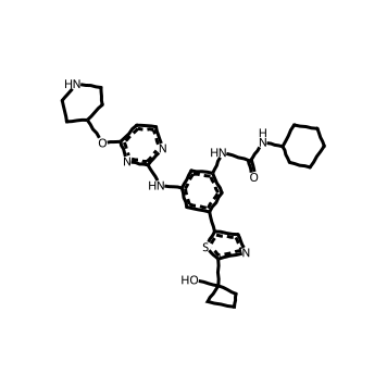 O=C(Nc1cc(Nc2nccc(OC3CCNCC3)n2)cc(-c2cnc(C3(O)CCC3)s2)c1)NC1CCCCC1